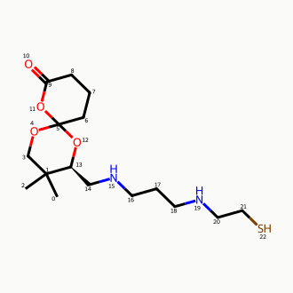 CC1(C)COC2(CCCC(=O)O2)O[C@H]1CNCCCNCCS